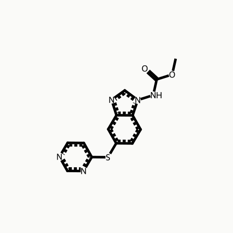 COC(=O)Nn1cnc2cc(Sc3ccncn3)ccc21